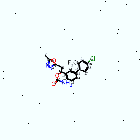 Cc1nnc(CC(OC(N)=O)c2cccc(-c3ccc(Cl)cc3C(F)(F)F)c2)o1